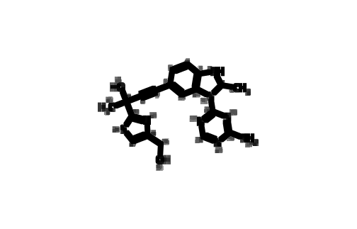 CC1Nc2ccc(C#CC(C)(O)c3nc(CO)cs3)cc2N1c1ncnc(N)n1